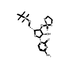 CC(C)(C)[Si](C)(C)OC[C@H]1O[C@@H](n2ccc(N)nc2=O)[C@H](O)[C@@H]1OP1(=S)SCCS1